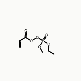 C=CC(=O)OOP(=O)(OC)OCC